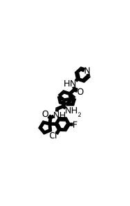 NC(CNC(=O)C1(c2ccc(F)cc2Cl)CCCC1)C1C2CC3CC1C(C(=O)Nc1ccncc1)(C3)C2